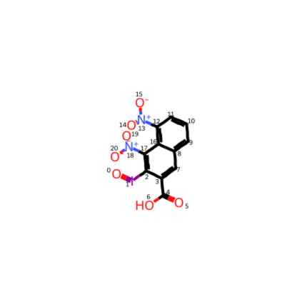 O=Ic1c(C(=O)O)cc2cccc([N+](=O)[O-])c2c1[N+](=O)[O-]